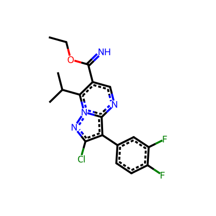 CCOC(=N)c1cnc2c(-c3ccc(F)c(F)c3)c(Cl)nn2c1C(C)C